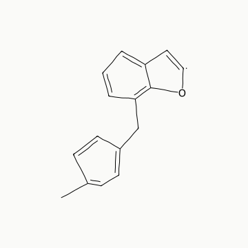 Cc1ccc(Cc2cccc3c[c]oc23)cc1